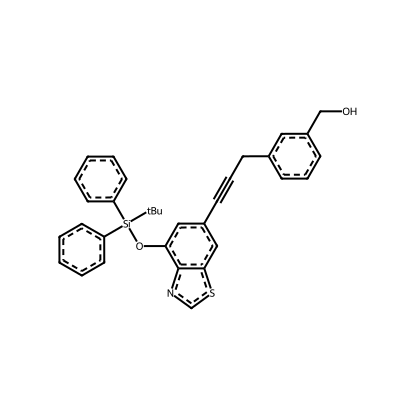 CC(C)(C)[Si](Oc1cc(C#CCc2cccc(CO)c2)cc2scnc12)(c1ccccc1)c1ccccc1